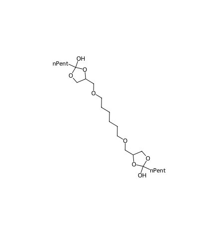 CCCCCC1(O)OCC(COCCCCCCOCC2COC(O)(CCCCC)O2)O1